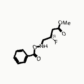 COC(=O)C[C@H](F)CNOC(=O)c1ccccc1